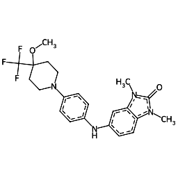 COC1(C(F)(F)F)CCN(c2ccc(Nc3ccc4c(c3)n(C)c(=O)n4C)cc2)CC1